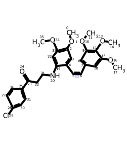 COc1cc(/C=C\c2cc(OC)c(OC)c(OC)c2)c(NCCC(=O)c2ccc(Cl)cc2)cc1OC